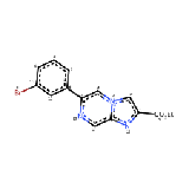 CCOC(=O)c1cn2cc(-c3cccc(Br)c3)ncc2n1